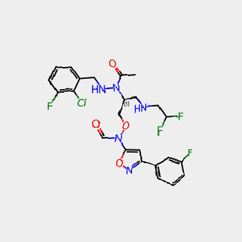 CC(=O)N(NCc1cccc(F)c1Cl)[C@@H](CNCC(F)F)CON(C=O)c1cc(-c2cccc(F)c2)no1